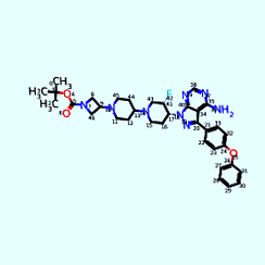 CC(C)(C)OC(=O)N1CC(N2CCC(N3CC[C@@H](n4nc(-c5ccc(Oc6ccccc6)cc5)c5c(N)ncnc54)[C@@H](F)C3)CC2)C1